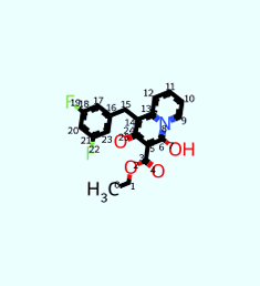 CCOC(=O)c1c(O)n2ccccc2c(Cc2cc(F)cc(F)c2)c1=O